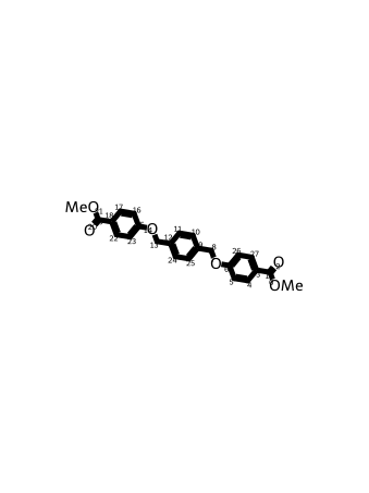 COC(=O)c1ccc(OCc2ccc(COc3ccc(C(=O)OC)cc3)cc2)cc1